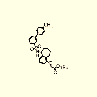 Cc1ccc(-c2cccc(S(=O)(=O)NC3CCCCc4c(OCC(=O)OC(C)(C)C)cccc43)c2)cc1